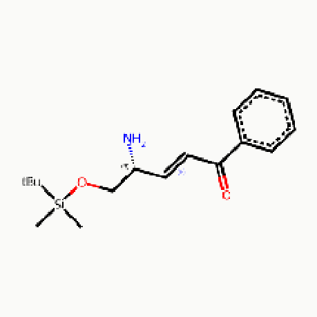 CC(C)(C)[Si](C)(C)OC[C@H](N)/C=C/C(=O)c1ccccc1